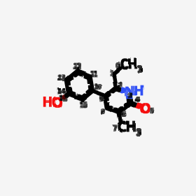 CCc1[nH]c(=O)c(C)cc1-c1cccc(O)c1